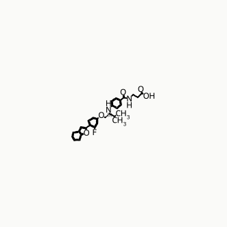 CC(C)[C@@H](COc1ccc(-c2cc3ccccc3o2)c(F)c1)Nc1ccc(C(=O)NCCC(=O)O)cc1